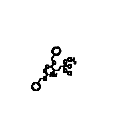 COP(=O)(CCC(NC(=O)OCc1ccccc1)C(=O)OCc1ccccc1)OCl